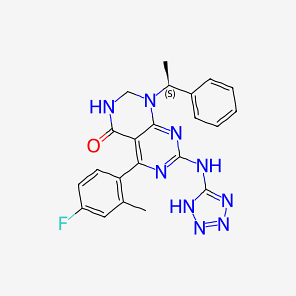 Cc1cc(F)ccc1-c1nc(Nc2nnn[nH]2)nc2c1C(=O)NCN2[C@@H](C)c1ccccc1